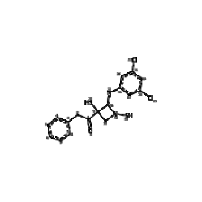 O=C(Cc1ccccc1)C1(S)CN(S)C1=Nc1cc(Cl)cc(Cl)c1